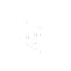 Cc1nc(NC(C)c2cccc(C(F)F)c2F)c2cc(C3CCS(=O)(=O)CC3)c(Cl)nc2n1